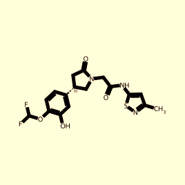 Cc1cc(NC(=O)CN2C[C@H](c3ccc(OC(F)F)c(O)c3)CC2=O)sn1